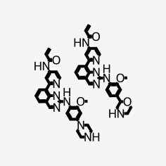 C=CC(=O)Nc1ccnc(-c2cccc3cnc(Nc4ccc(C5CNCCO5)cc4OC)nc23)c1.C=CC(=O)Nc1ccnc(-c2cccc3cnc(Nc4ccc(N5CCNCC5)cc4OC)nc23)c1